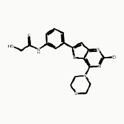 O=C(CO)Nc1cccc(-c2cc3nc(Cl)nc(N4CCOCC4)c3s2)c1